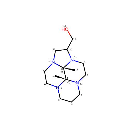 C[C@]12N3CCCN1CCN1C(CO)CN(CC3)[C@]12C